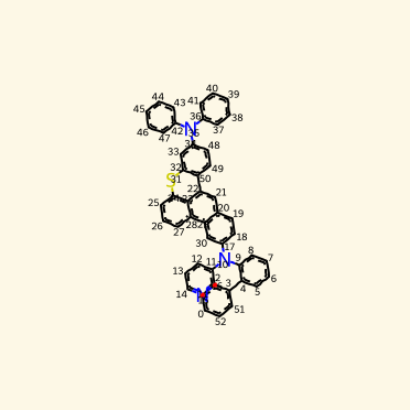 c1ccc(-c2ccccc2N(c2cccnc2)c2ccc3cc4c5c(cccc5c3c2)Sc2cc(N(c3ccccc3)c3ccccc3)ccc2-4)cc1